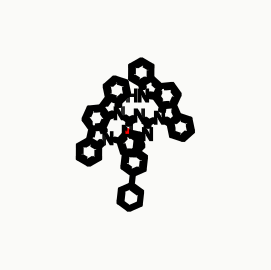 C1=CC(c2ccc(-c3nc(-n4c5ccccc5c5ccc6c7ccccc7[nH]c6c54)nc(-n4c5ccccc5c5ccc6c7ccccc7n(-c7ccccc7)c6c54)n3)cc2)=CCC1